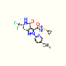 Cc1ccc(-n2nc3c(c2C(=O)NSC2CC2)C(=O)NC(C(F)(F)F)C3)nc1